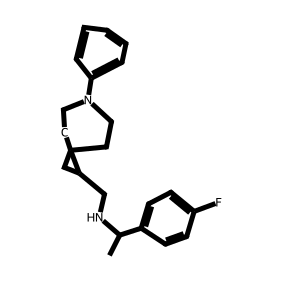 CC(NCC1CC12CCN(c1ccccc1)CC2)c1ccc(F)cc1